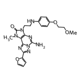 COCCOc1ccc(NCCn2c(=O)n(C)c3c2nc(N)n2nc(-c4ccco4)nc32)cc1